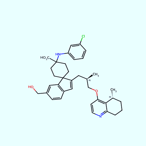 C[C@@H](COc1ccnc2c1[C@H](C)CCC2)CC1=Cc2ccc(CO)cc2C12CCC(Nc1cccc(Cl)c1)(C(=O)O)CC2